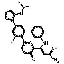 CC(=N)/C=C(\Nc1ccccc1)c1nn(-c2ccc(-n3nccc3OC(F)F)cc2F)ccc1=O